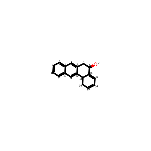 O=C1Cc2cc3ccccc3cc2C2CC=CC=C12